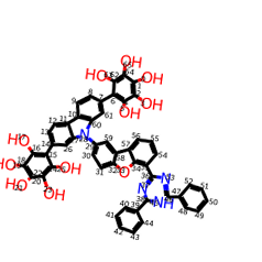 Oc1c(O)c(O)c(-c2ccc3c4ccc(-c5c(O)c(O)c(O)c(O)c5O)cc4n(-c4ccc5oc6c(C7=NC(c8ccccc8)NC(c8ccccc8)=N7)cccc6c5c4)c3c2)c(O)c1O